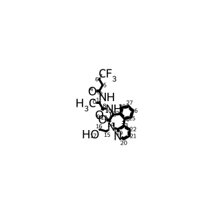 CC(NC(=O)CCC(F)(F)F)C(=O)N[C@@H]1C(=O)N(CCO)c2ncccc2-c2ccccc21